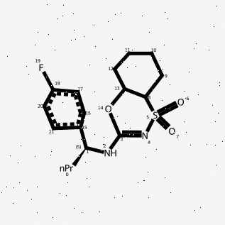 CCC[C@H](NC1=NS(=O)(=O)C2CCCCC2O1)c1ccc(F)cc1